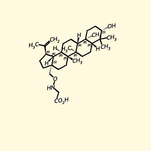 C=C(C)[C@@H]1CC[C@]2(CONCC(=O)O)CC[C@]3(C)[C@H](CC[C@@H]4[C@@]5(C)CC[C@H](O)C(C)(C)[C@@H]5CC[C@]43C)[C@@H]12